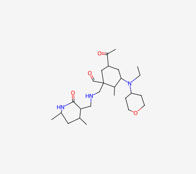 CCN(C1CCOCC1)C1CC(C(C)=O)CC(C=O)(CNCC2C(=O)NC(C)CC2C)C1C